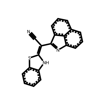 N#C/C(C1=Nc2cccc3cccc1c23)=C1/Nc2ccccc2S1